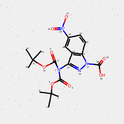 CC(C)(C)OC(=O)N(C(=O)OC(C)(C)C)c1nn(C(=O)O)c2ccc([N+](=O)[O-])cc12